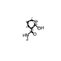 O=C(NI)c1cccnc1O